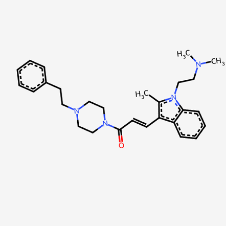 Cc1c(C=CC(=O)N2CCN(CCc3ccccc3)CC2)c2ccccc2n1CCN(C)C